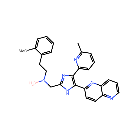 BN(CCc1ccccc1OC)Cc1nc(-c2cccc(C)n2)c(-c2ccc3ncccc3n2)[nH]1